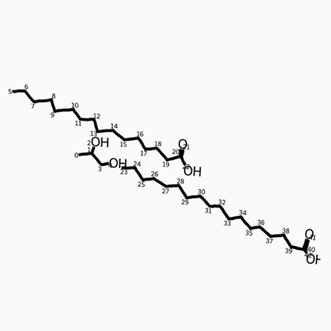 CC(O)CO.CCCCCCCCCCCCCCCC(=O)O.CCCCCCCCCCCCCCCCCC(=O)O